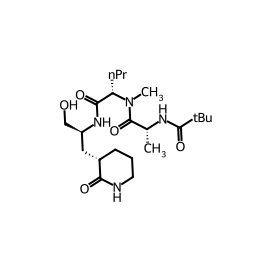 CCC[C@@H](C(=O)N[C@H](CO)C[C@@H]1CCCNC1=O)N(C)C(=O)[C@@H](C)NC(=O)C(C)(C)C